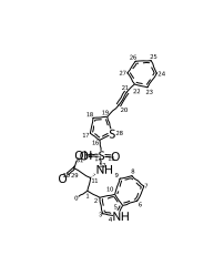 CC(c1c[nH]c2ccccc12)[C@@H](NS(=O)(=O)c1ccc(C#Cc2ccccc2)s1)C(=O)O